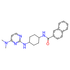 CN(C)c1ccnc(NC2CCC(NC(=O)c3ccc4ccccc4c3)CC2)n1